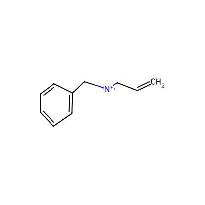 C=CC[N+]Cc1ccccc1